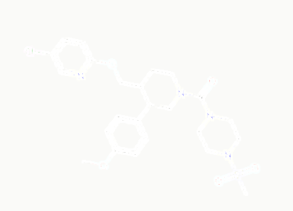 COc1ccc(C2CN(C(=O)N3CCN(S(C)(=O)=O)CC3)CCC2COc2ccc(Cl)cn2)cc1